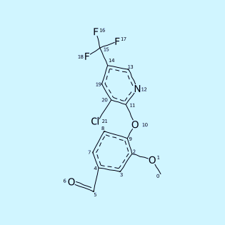 COc1cc(C=O)ccc1Oc1ncc(C(F)(F)F)cc1Cl